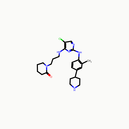 Cc1cc(C2CCNCC2)ccc1Nc1ncc(Cl)c(NCCCN2CCCCC2=O)n1